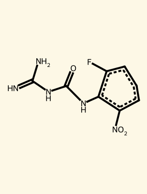 N=C(N)NC(=O)Nc1c(F)cccc1[N+](=O)[O-]